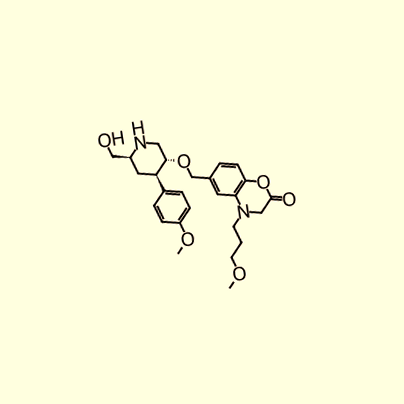 COCCCN1CC(=O)Oc2ccc(CO[C@H]3CN[C@H](CO)C[C@@H]3c3ccc(OC)cc3)cc21